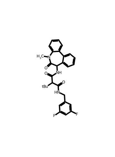 CN1C(=O)C(NC(=O)C(C(=O)NCc2cc(F)cc(F)c2)C(C)(C)C)c2ccccc2-c2ccccc21